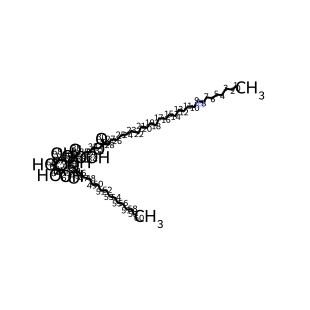 CCCCCCCC/C=C/CCCCCCCCCCCCCCCCCCCC(=O)OC[C@H](O)COP(=O)(O)O[C@@H]1C(OC(=O)CCCCCCCCCCCCCCC)C(O)[C@@H](O)C(O)[C@H]1O